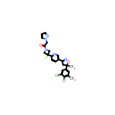 O=C(Cn1cccn1)N1CC(F)(c2ccc(C3=NOC(c4cc(Cl)c(Cl)c(C(F)(F)F)c4)(C(F)(F)F)C3)cn2)C1